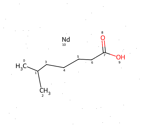 CC(C)CCCCC(=O)O.[Nd]